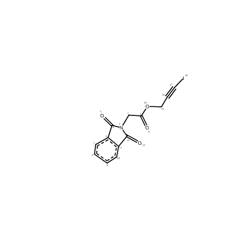 O=C(CN1C(=O)c2ccccc2C1=O)OCC#CI